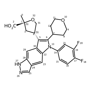 C[C@@]1(C(=O)O)C[C@@H](c2c(C3CCOCC3)n(-c3ccc(F)c(F)c3)c3cc4cn[nH]c4cc23)CO1